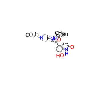 CC(C)(C)[Si](C)(C)O[C@H](CNC1CCN(CC(=O)O)CC1)c1ccc(O)c2[nH]c(=O)ccc12